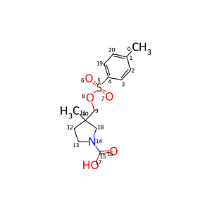 Cc1ccc(S(=O)(=O)OCC2(C)CCN(C(=O)O)C2)cc1